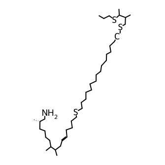 CCCSC(C)C(C)CSCCCCCCCCCCCCCCCCCSCCCC/C=C/CC(C)C(C)CCCC[C@H](C)CN